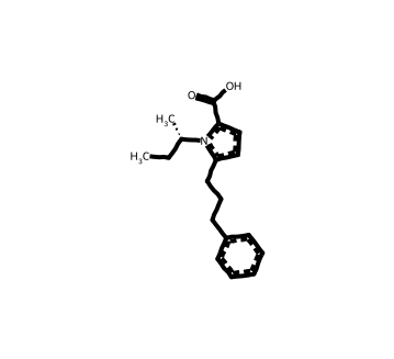 CC[C@H](C)n1c(CCCc2ccccc2)ccc1C(=O)O